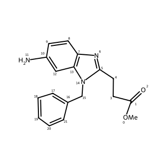 COC(=O)CCc1nc2ccc(N)cc2n1Cc1ccccc1